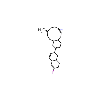 C=C1CC/C=C\CC2CC=C(C3C=CC4C=C(I)CCC4C3)CC2CC1